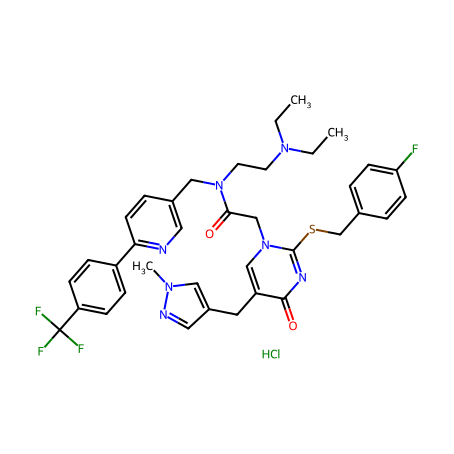 CCN(CC)CCN(Cc1ccc(-c2ccc(C(F)(F)F)cc2)nc1)C(=O)Cn1cc(Cc2cnn(C)c2)c(=O)nc1SCc1ccc(F)cc1.Cl